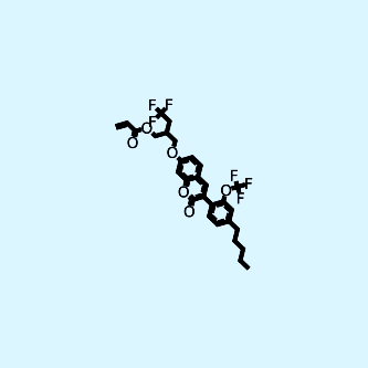 C=CC(=O)OCC(COc1ccc2cc(-c3ccc(CCCCC)cc3OC(F)(F)F)c(=O)oc2c1)CC(F)(F)F